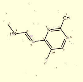 CN/C=N/c1nc(O)ncc1F